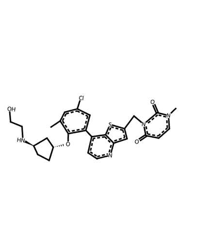 Cc1cc(Cl)cc(-c2ccnc3cc(Cn4c(=O)ccn(C)c4=O)sc23)c1O[C@@H]1CC[C@@H](NCCO)C1